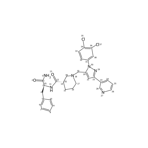 NC(=O)[C@H](Cc1ccccc1)NC(=O)[C@H]1CCCN(Cc2cc(-c3cccnc3)nn2-c2ccc(Cl)c(Cl)c2)C1